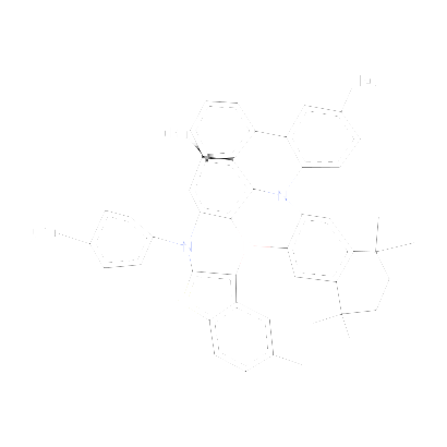 Cc1ccc2sc3c(c2c1)B1c2cc4c(cc2N(c2ccc(C(C)(C)C)cc2-c2ccccc2)c2cc(C(C)(C)C)cc(c21)N3c1ccc(C(C)(C)C)cc1)C(C)(C)CCC4(C)C